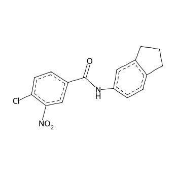 O=C(Nc1ccc2c(c1)CCC2)c1ccc(Cl)c([N+](=O)[O-])c1